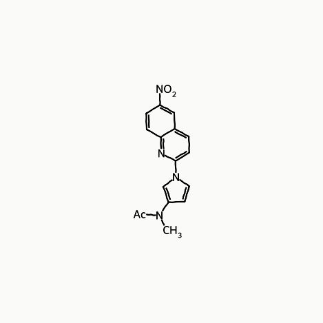 CC(=O)N(C)c1ccn(-c2ccc3cc([N+](=O)[O-])ccc3n2)c1